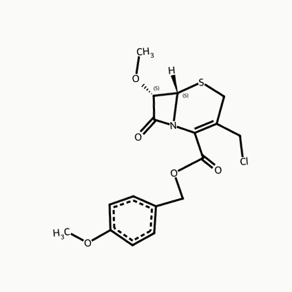 COc1ccc(COC(=O)C2=C(CCl)CS[C@H]3[C@@H](OC)C(=O)N23)cc1